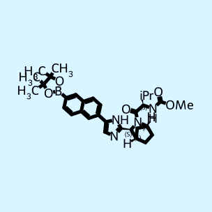 COC(=O)N[C@H](C(=O)N1[C@@H]2CC[C@@H](C2)[C@H]1c1ncc(-c2ccc3cc(B4OC(C)(C)C(C)(C)O4)ccc3c2)[nH]1)C(C)C